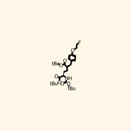 CC(C)(C)OC(=O)N[C@H](CCC(Cc1ccc(OCCF)cc1)C(=O)OC(C)(C)C)C(=O)OC(C)(C)C